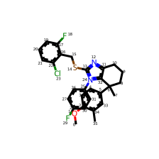 COc1ccc(C2(C)CCCc3nc(SCc4c(F)cccc4Cl)n(-c4ccc(F)cc4)c32)cc1C